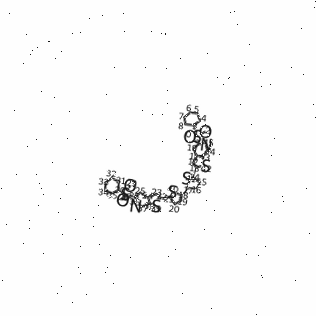 O=S(=O)(c1ccccc1)c1cc2cc(C3=CCC(c4ccc(-c5cc6cc(S(=O)(=O)c7ccccc7)ncc6s5)s4)S3)sc2cn1